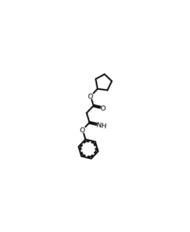 N=C(CC(=O)OC1CCCC1)Oc1ccccc1